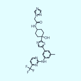 Cc1cc(Nc2nccc(C(F)(F)F)n2)cc(-c2cnc(C3(O)CCC(NC(=O)Cn4cncn4)CC3)s2)c1